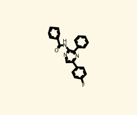 O=C(Nc1ncc(-c2ccc(F)cc2)nc1-c1ccccc1)c1ccccc1